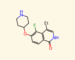 CCc1c[nH]c(=O)c2ccc(OC3CCNCC3)c(F)c12